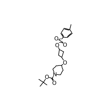 Cc1ccc(S(=O)(=O)OC2CC(OC3CCN(C(=O)OC(C)(C)C)CC3)C2)cc1